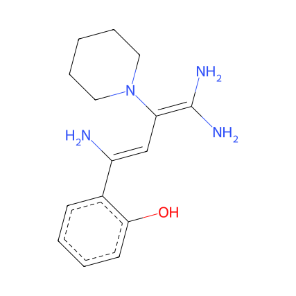 NC(N)=C(/C=C(\N)c1ccccc1O)N1CCCCC1